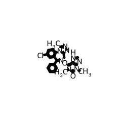 Cc1nnc2n1-c1ccc(Cl)cc1C(c1ccccc1)=NC2.Cn1c(=O)c2[nH]cnc2n(C)c1=O